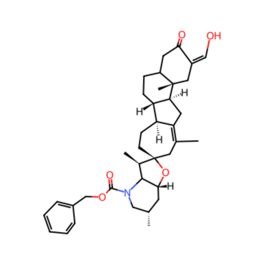 CC1=C2C[C@H]3[C@@H](CCC4CC(=O)/C(=C\O)C[C@@]43C)[C@@H]2CC[C@@]2(C1)O[C@@H]1C[C@H](C)CN(C(=O)OCc3ccccc3)C1[C@H]2C